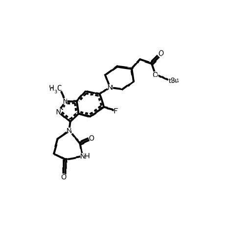 Cn1nc(N2CCC(=O)NC2=O)c2cc(F)c(N3CCC(CC(=O)OC(C)(C)C)CC3)cc21